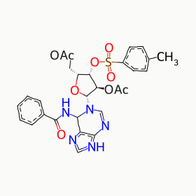 CC(=O)OC[C@H]1O[C@@H](N2C=Nc3[nH]cnc3C2NC(=O)c2ccccc2)[C@H](OC(C)=O)[C@H]1OS(=O)(=O)c1ccc(C)cc1